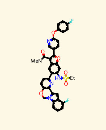 CCS(=O)(=O)Nc1cc2oc(-c3ccc(Oc4ccc(F)cc4)nc3)c(C(=O)NC)c2cc1-c1ccc2c(n1)-c1cc3c(F)cccc3n1CO2